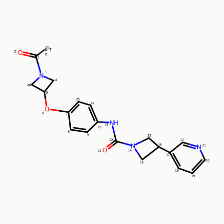 CC(C)C(=O)N1CC(Oc2ccc(NC(=O)N3CC(c4cccnc4)C3)cc2)C1